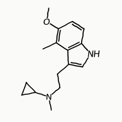 COc1ccc2[nH]cc(CCN(C)C3CC3)c2c1C